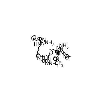 Cc1cc(CNc2nc(N)nc3c(CC(C)OCCNc4nc(N)nc5ccn(Cc6cc(CCCCNc7nc(N)nc8ccn(C[C@H]9CCCO9)c78)ccn6)c45)cn(Cc4cccc(C(F)(F)F)n4)c23)no1